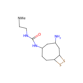 CNCCNC(=O)NC1CCC2SSC2CC(N)C1